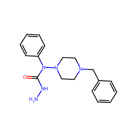 NNC(=O)N(c1ccccc1)N1CCN(Cc2ccccc2)CC1